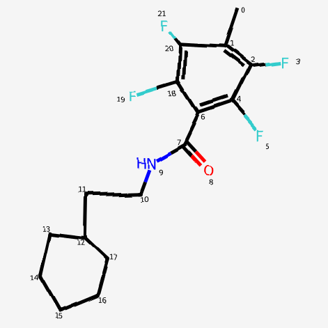 Cc1c(F)c(F)c(C(=O)NCCC2CCCCC2)c(F)c1F